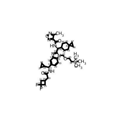 Cc1nonc1C(=O)N[C@H](c1nc2cc([C@H](NC(=O)CC3CC(F)(F)C3)C3CC3)ccc2n1COCC[Si](C)(C)C)C1CCC2(CC1)CC2